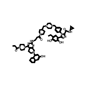 CCC(=O)N1CCN(c2nc(NCCC(=O)N3CCC(CN4CCN(Cc5ccc(-n6c(C(=O)NC7CC7)nnc6-c6cc(CC)c(O)cc6O)cc5)CC4)CC3)nc3c2CCN(c2cc(O)cc4ccccc24)C3)CC1